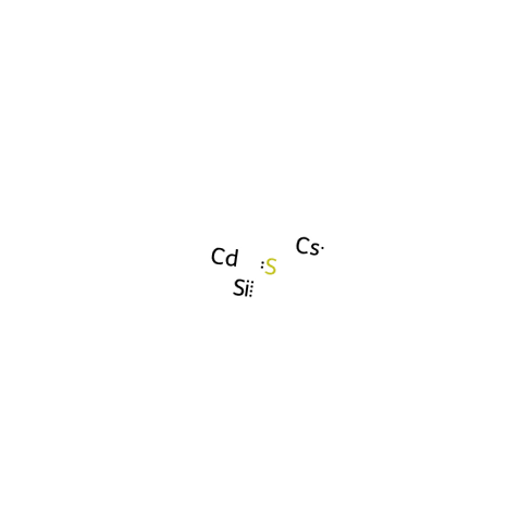 [Cd].[Cs].[S].[Si]